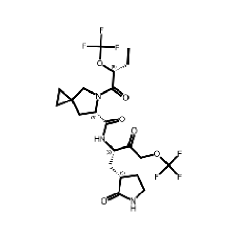 CC[C@@H](OC(F)(F)F)C(=O)N1CC2(CC2)C[C@H]1C(=O)N[C@@H](C[C@@H]1CCNC1=O)C(=O)COC(F)(F)F